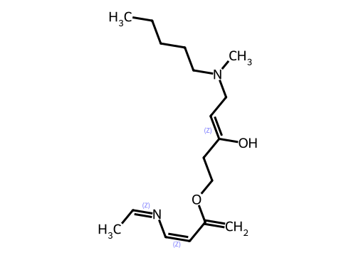 C=C(/C=C\N=C/C)OCC/C(O)=C/CN(C)CCCCC